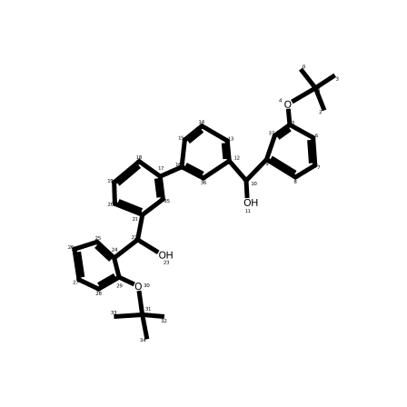 CC(C)(C)Oc1cccc(C(O)c2cccc(-c3cccc(C(O)c4ccccc4OC(C)(C)C)c3)c2)c1